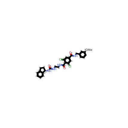 COc1cccc(CNC(=O)c2cc(Cl)c(C(=O)NCCNC(=O)N[C@@H]3CCc4ccccc43)c(Cl)c2)c1